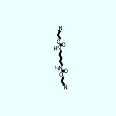 N#CCCOC(=O)NCCCCCNC(=O)OCCC#N